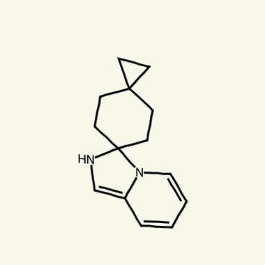 C1=CC2=CNC3(CCC4(CC4)CC3)N2C=C1